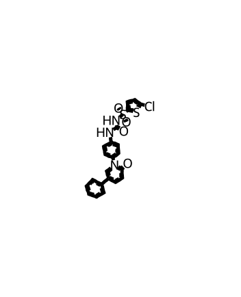 O=C(Nc1ccc(-n2cc(-c3ccccc3)ccc2=O)cc1)NS(=O)(=O)c1ccc(Cl)s1